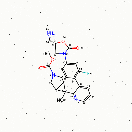 CC(C)(C)OC(=O)N1CC2C(C1)C2(C#N)c1ncccc1-c1ccc(N2C[C@H](CN)OC2=O)cc1F